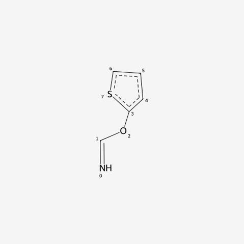 N=COc1cccs1